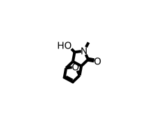 CN1C(=O)C2C3C=CC(O3)C2C1O